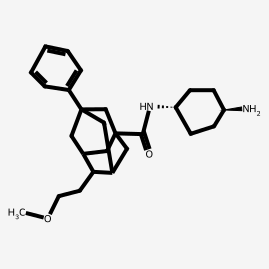 COCCC1C2CC3(C(=O)N[C@H]4CC[C@H](N)CC4)CC1CC(c1ccccc1)(C2)C3